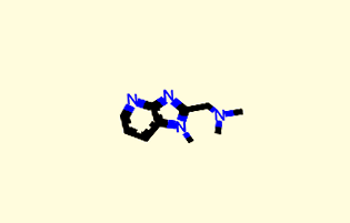 CN(C)Cc1nc2ncccc2n1C